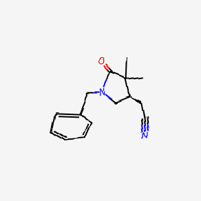 CC1(C)C(=O)N(Cc2ccccc2)C[C@@H]1CC#N